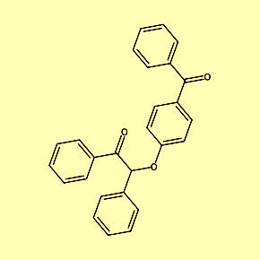 O=C(c1ccccc1)c1ccc(OC(C(=O)c2ccccc2)c2ccccc2)cc1